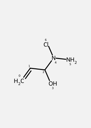 C=CC(O)N(N)Cl